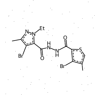 CCn1nc(C)c(Br)c1C(=O)NNC(=O)c1scc(C)c1Br